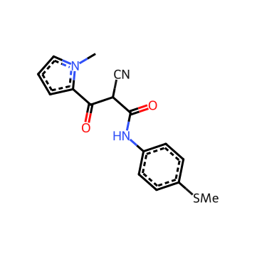 CSc1ccc(NC(=O)C(C#N)C(=O)c2cccn2C)cc1